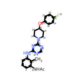 CC(=O)Nc1cccc(Nc2ncnc(N3CCC(Oc4ccc(F)cc4)CC3)n2)c1C